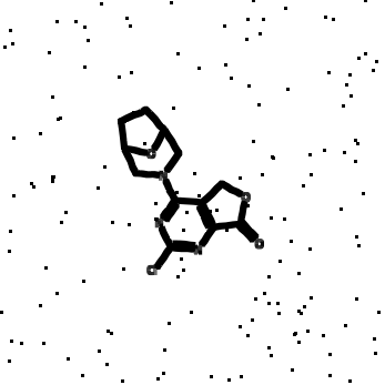 O=C1OCc2c1nc(Cl)nc2N1CC2CCC(C1)O2